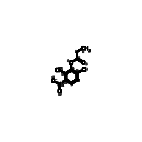 CCC(=O)Oc1c(Cl)ccc([N+](=O)[O-])c1Cl